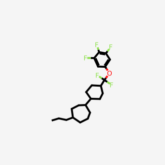 CCCC1CCCC(C2CCC(C(F)(F)Oc3cc(F)c(F)c(F)c3)CC2)CC1